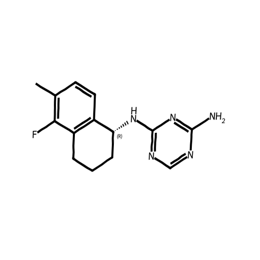 Cc1ccc2c(c1F)CCC[C@H]2Nc1ncnc(N)n1